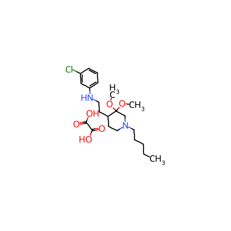 CCCCCN1CCC(CCNc2cccc(Cl)c2)C(OC)(OC)C1.O=C(O)C(=O)O